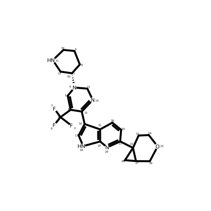 FC(F)(F)C1=CN([C@H]2CCCNC2)CN=C1c1c[nH]c2nc(C34CCOCC3C4)ccc12